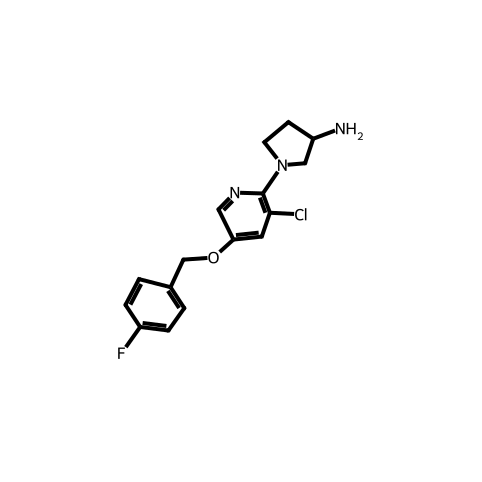 NC1CCN(c2ncc(OCc3ccc(F)cc3)cc2Cl)C1